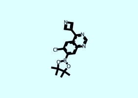 CC1(C)OB(c2cc3ncnc(C4=CN=C4)c3cc2Cl)OC1(C)C